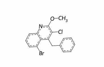 COc1nc2cccc(Br)c2c(Cc2ccccc2)c1Cl